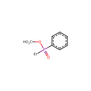 CCP(=O)(OC(=O)O)c1ccccc1